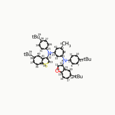 Cc1cc(N(c2ccc(C(C)(C)C)cc2)c2coc3ccc(C(C)(C)C)cc23)cc(N(c2ccc(C(C)(C)C)cc2)c2csc3ccc(C(C)(C)C)cc23)c1